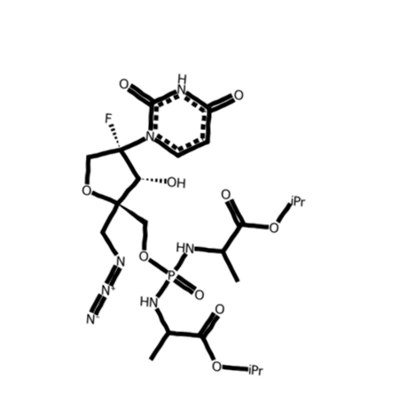 CC(C)OC(=O)C(C)NP(=O)(NC(C)C(=O)OC(C)C)OC[C@@]1(CN=[N+]=[N-])OC[C@@](F)(n2ccc(=O)[nH]c2=O)[C@@H]1O